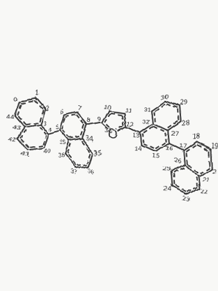 c1ccc2c(-c3ccc(-c4ccc(-c5ccc(-c6cccc7ccccc67)c6ccccc56)o4)c4ccccc34)cccc2c1